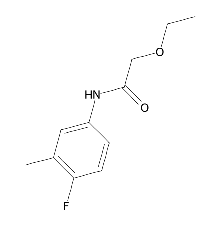 CCOCC(=O)Nc1ccc(F)c(C)c1